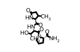 CC1CC(=O)N[C@@H]1C(=O)N[C@H](C(=O)N1CCC[C@H]1C(N)=O)[C@@H](C)O